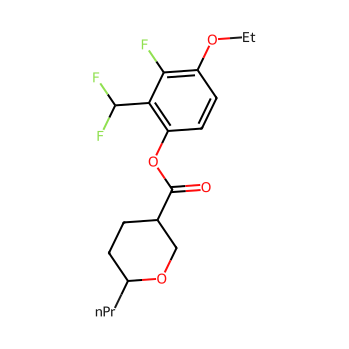 CCCC1CCC(C(=O)Oc2ccc(OCC)c(F)c2C(F)F)CO1